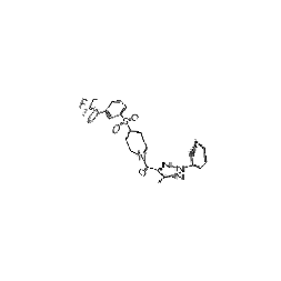 Cc1nn(-c2ccccc2)nc1C(=O)N1CCC(S(=O)(=O)c2cccc(OC(F)(F)F)c2)CC1